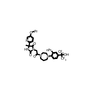 CCCc1cc(C(O)(C(F)(F)F)C(F)(F)F)ccc1N1CCCN(C(=O)CN2C(=O)NC(C)(c3ccc(OC(C)C)cn3)C2=O)CC1